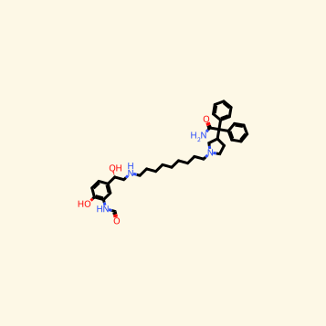 NC(=O)C(c1ccccc1)(c1ccccc1)C1CCN(CCCCCCCCCNC[C@@H](O)c2ccc(O)c(NC=O)c2)C1